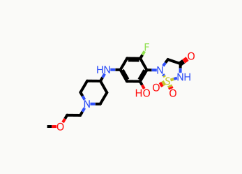 COCCN1CCC(Nc2cc(O)c(N3CC(=O)NS3(=O)=O)c(F)c2)CC1